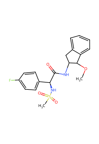 COC1c2ccccc2CC1NC(=O)[C@@H](NS(C)(=O)=O)c1ccc(F)cc1